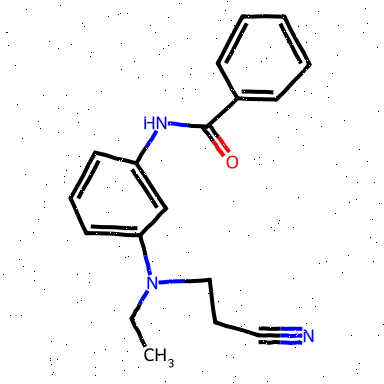 CCN(CCC#N)c1cccc(NC(=O)c2ccccc2)c1